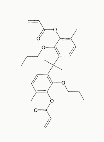 C=CC(=O)Oc1c(C)ccc(C(C)(C)c2ccc(C)c(OC(=O)C=C)c2OCCC)c1OCCC